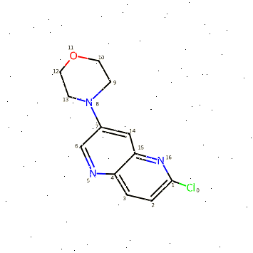 Clc1ccc2ncc(N3CCOCC3)cc2n1